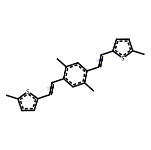 Cc1ccc(/C=C/c2cc(C)c(/C=C/c3ccc(C)s3)cc2C)s1